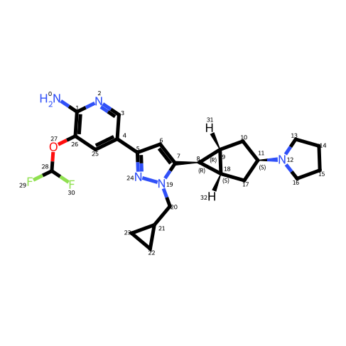 Nc1ncc(-c2cc([C@H]3[C@@H]4C[C@@H](N5CCCC5)C[C@@H]43)n(CC3CC3)n2)cc1OC(F)F